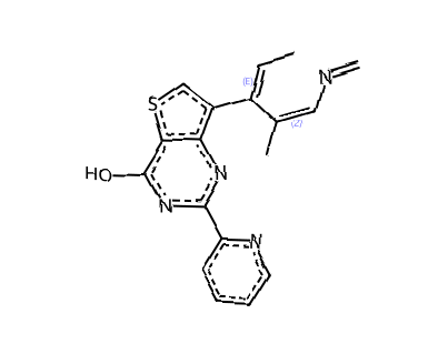 C=N/C=C(C)\C(=C/C)c1csc2c(O)nc(-c3ccccn3)nc12